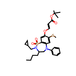 CCCCC1CN(c2ccccc2)c2cc(SC)c(O/C=C/C(=O)OC(C)(C)C)cc2S(=O)(=O)N1CC1CC1